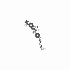 CC(C)(C)C(=O)c1ccc2[nH]c(C(=O)Nc3ccc(OCCOCCO)cc3)cc2c1